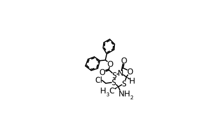 C[C@]1(N)S[C@H]2OC(=O)N2S(C(=O)OC(c2ccccc2)c2ccccc2)=S1CCl